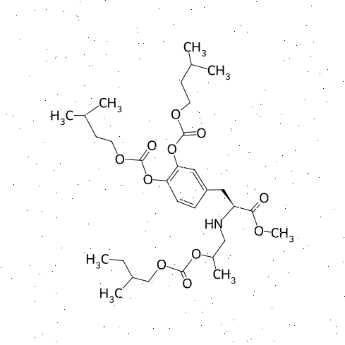 CCC(C)COC(=O)OC(C)CN[C@@H](Cc1ccc(OC(=O)OCCC(C)C)c(OC(=O)OCCC(C)C)c1)C(=O)OC